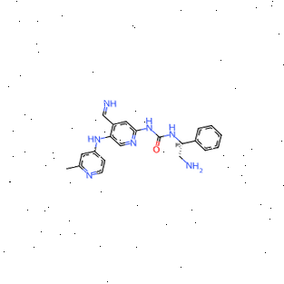 Cc1cc(Nc2cnc(NC(=O)N[C@@H](CN)c3ccccc3)cc2C=N)ccn1